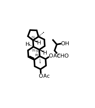 CC(=O)OC1CC2=CC[C@H]3[C@@H]4CCC[C@@]4(C)CC[C@@H]3[C@@]2(C)C(OC(C)=O)C1.CC(O)CC=O